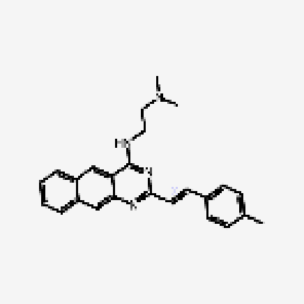 Cc1ccc(/C=C/c2nc(NCCN(C)C)c3cc4ccccc4cc3n2)cc1